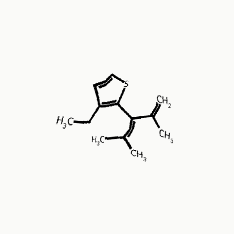 C=C(C)C(=C(C)C)c1sccc1CC